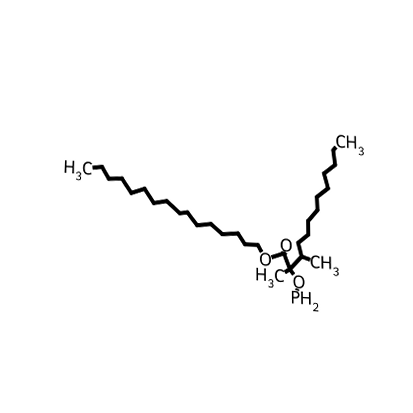 CCCCCCCCCCCCCCCCOC(=O)C(C)(OP)C(C)CCCCCCCCCC